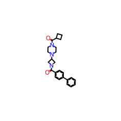 O=C(c1ccc(-c2ccccc2)cc1)N1CC(N2CCN(C(=O)C3CCC3)CC2)C1